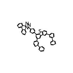 c1ccc(-c2cccc(-c3ccc4sc5c(-c6ccc(-c7nnc8c9ccccc9c9ccccc9n78)cc6)cc(-c6cccc(-c7ccccc7)c6)cc5c4c3)c2)cc1